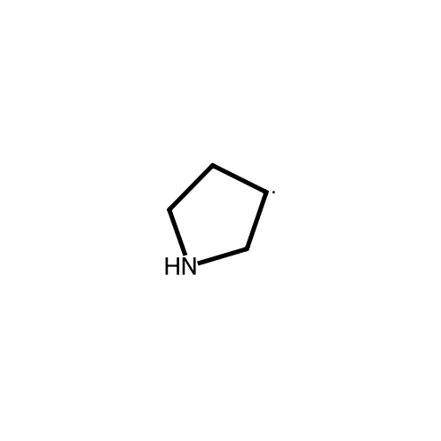 [CH]1CCNC1